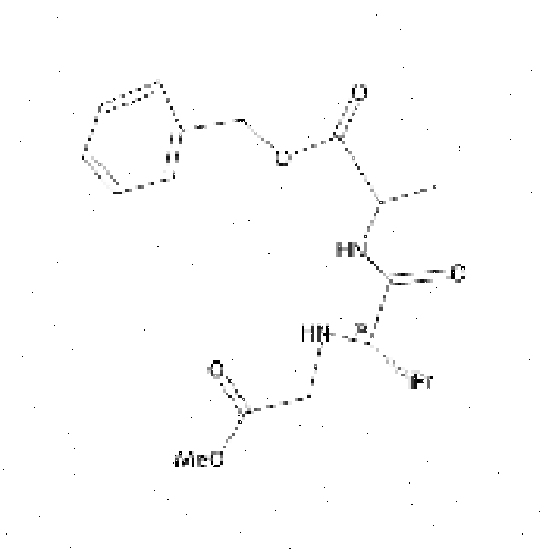 COC(=O)CN[C@H](C(=O)NC(C)C(=O)OCc1ccccc1)C(C)C